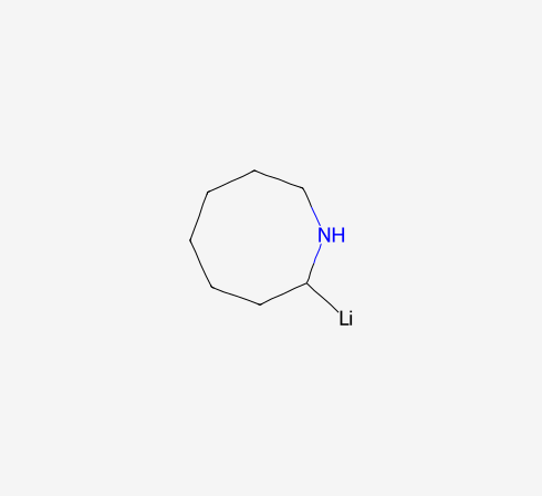 [Li][CH]1CCCCCCN1